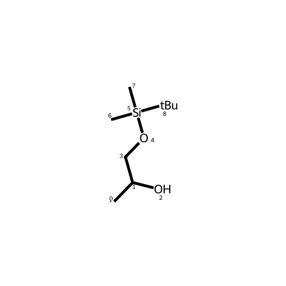 [CH2]C(O)CO[Si](C)(C)C(C)(C)C